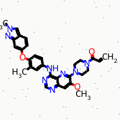 C=CC(=O)N1CCN(c2nc3c(Nc4ccc(Oc5ccc6cn(C)nc6c5)c(C)c4)ncnc3cc2OC)CC1